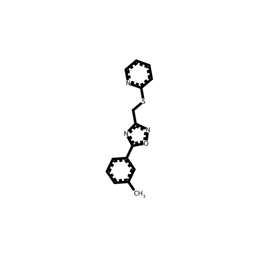 Cc1cccc(-c2nc(CSc3ccccn3)no2)c1